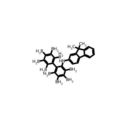 Bc1c(B)c(B)c(-c2c(B)c(B)c(B)c(B)c2Nc2ccc3c(c2)C(C)(C)c2ccccc2-3)c(B)c1B